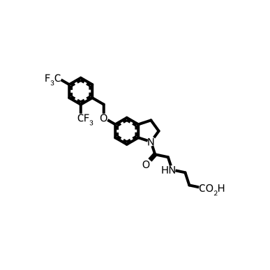 O=C(O)CCNCC(=O)N1CCc2cc(OCc3ccc(C(F)(F)F)cc3C(F)(F)F)ccc21